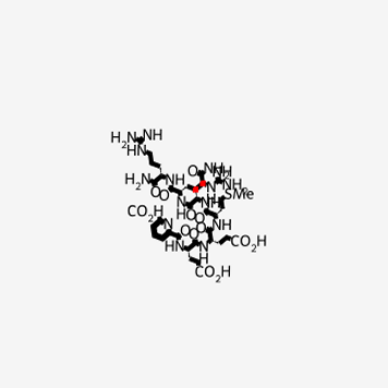 CSCC[C@H](NC(=O)[C@H](CCC(=O)O)NC(=O)[C@H](CCC(=O)O)NC(=O)c1cccc(C(=O)O)n1)C(=O)N[C@@H](CCC(N)=O)C(=O)N[C@@H](CCCNC(=N)N)C(=O)N[C@@H](CCCNC(=N)N)C(N)=O